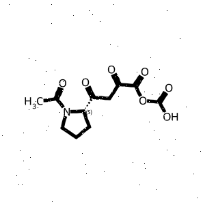 CC(=O)N1CCC[C@H]1C(=O)CC(=O)C(=O)OC(=O)O